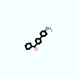 Bc1ccc(-c2ccc(C(=O)c3ccccc3)cc2)cc1